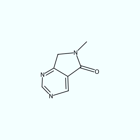 CN1Cc2ncncc2C1=O